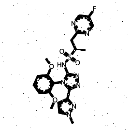 COc1cccc(OC)c1-n1c(NS(=O)(=O)[C@H](C)Cc2ncc(F)cn2)nnc1-c1ccn(C)n1